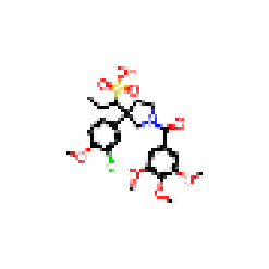 CCC(C1(c2ccc(OC)c(Cl)c2)CCN(C(=O)c2cc(OC)c(OC)c(OC)c2)C1)S(=O)(=O)O